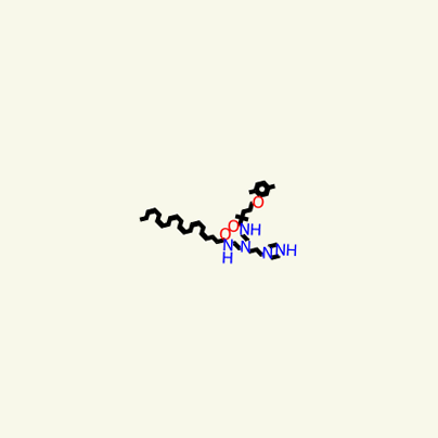 CC/C=C\C/C=C\C/C=C\C/C=C\C/C=C\C/C=C\CCC(=O)NCCN(CCCN1CCNCC1)CCNC(=O)C(C)(C)CCCOc1cc(C)ccc1C